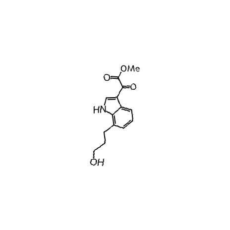 COC(=O)C(=O)c1c[nH]c2c(CCCO)cccc12